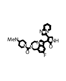 CNC1CCN(C(=O)N2CCn3cc(C4=C(c5cnc6ccccn56)CNC4=O)c4cc(F)cc(c43)C2)CC1